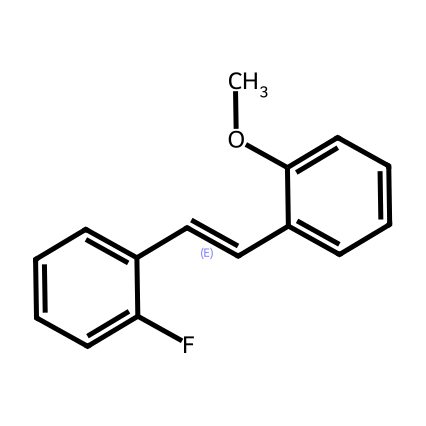 COc1ccccc1/C=C/c1ccccc1F